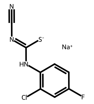 N#C/N=C(\[S-])Nc1ccc(F)cc1Cl.[Na+]